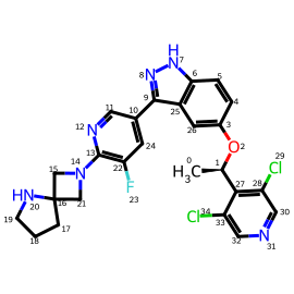 C[C@@H](Oc1ccc2[nH]nc(-c3cnc(N4CC5(CCCN5)C4)c(F)c3)c2c1)c1c(Cl)cncc1Cl